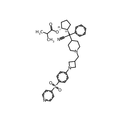 CC(C)C(=O)O[C@@H]1CCC[C@H]1C(C#N)(c1ccccc1)C1CCN(CC2CN(c3ccc(S(=O)(=O)c4ccncc4)cc3)C2)CC1